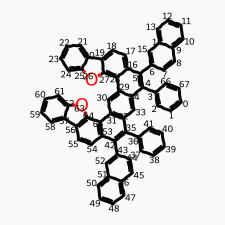 c1ccc(-c2c(-c3ccc4ccccc4c3)c3ccc4c5ccccc5oc4c3c3cc4c(cc23)c(-c2ccccc2)c(-c2ccc3ccccc3c2)c2ccc3c5ccccc5oc3c24)cc1